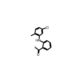 Cc1ccc(Cl)cc1Nc1ccccc1C(=O)I